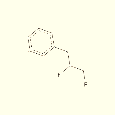 FCC(F)Cc1c[c]ccc1